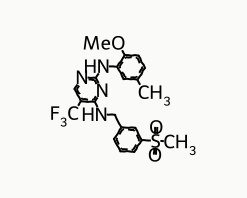 COc1ccc(C)cc1Nc1ncc(C(F)(F)F)c(NCc2cccc(S(C)(=O)=O)c2)n1